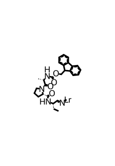 CC[C@@H](/C=[N]/[Lr])NC(=O)[C@@H]1CCCN1C(=O)[C@H](C)NC(=O)OCC1c2ccccc2-c2ccccc21